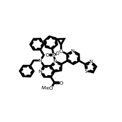 COC(=O)c1cnc(N(Cc2ccccc2)Cc2ccccc2)c2c1cc(-c1cc(-c3nccs3)cnc1OC1CC1)n2S(=O)(=O)c1ccccc1